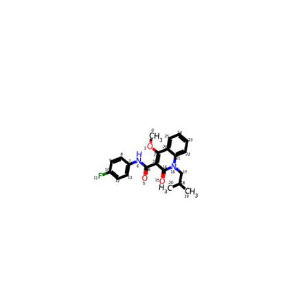 COc1c(C(=O)Nc2ccc(F)cc2)c(=O)n(CC(C)C)c2ccccc12